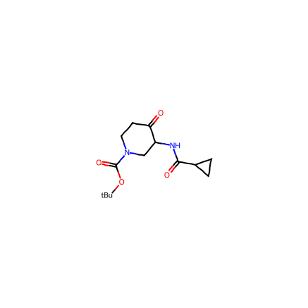 CC(C)(C)OC(=O)N1CCC(=O)C(NC(=O)C2CC2)C1